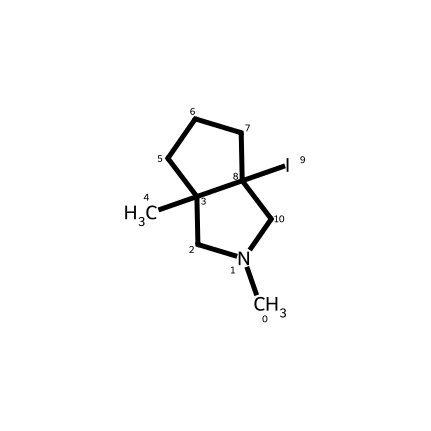 CN1CC2(C)CCCC2(I)C1